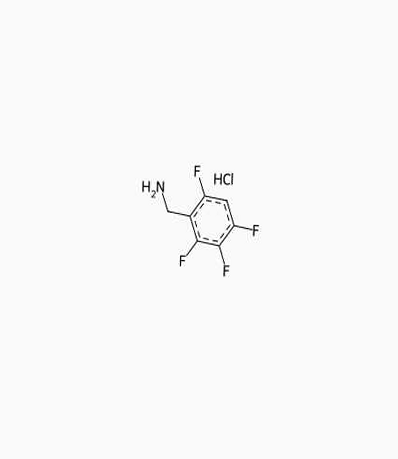 Cl.NCc1c(F)cc(F)c(F)c1F